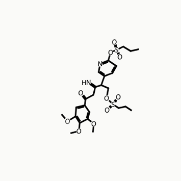 CCCS(=O)(=O)OCC(C(=N)CC(=O)c1cc(OC)c(OC)c(OC)c1)c1ccc(OS(=O)(=O)CCC)nc1